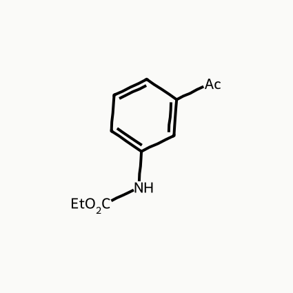 CCOC(=O)Nc1cccc(C(C)=O)c1